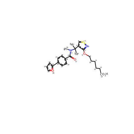 [2H]C([2H])(c1csnc1OCCCCCC(=O)O)N(C(=O)c1ccc(-c2ccco2)cc1)C(C)C